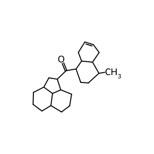 CC1CCC(C(=O)C2CC3CCCC4CCCC2C43)C2CC=CCC12